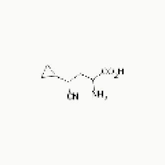 N#CC(CC(N)C(=O)O)C1CC1